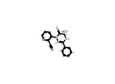 Cl.N#Cc1ncccc1N1N=C(c2ccccc2)OCC1=O